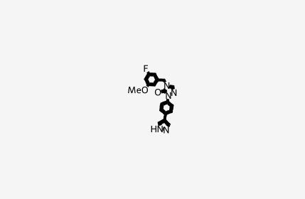 COc1cc(F)cc(Cn2cnn(-c3ccc(-c4cn[nH]c4)cc3)c2=O)c1